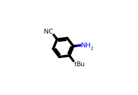 CC(C)(C)c1ccc(C#N)cc1N